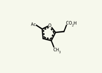 CC(=O)c1cc(C)c(CC(=O)O)o1